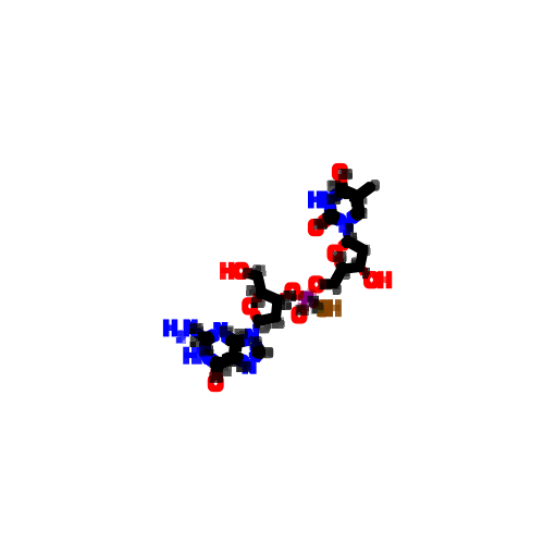 Cc1cn([C@H]2C[C@@H](O)C(COP(=O)(S)O[C@@H]3C[C@H](n4cnc5c(=O)[nH]c(N)nc54)OC3CO)O2)c(=O)[nH]c1=O